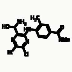 CCc1nc(C(N)O)c(Nc2ccc(C(=O)NC)cc2C)nc1Cl